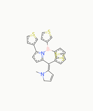 CN1CC=C/C1=C(\c1cccs1)c1ccc(-c2ccsc2)n1B(c1ccsc1)c1ccsc1